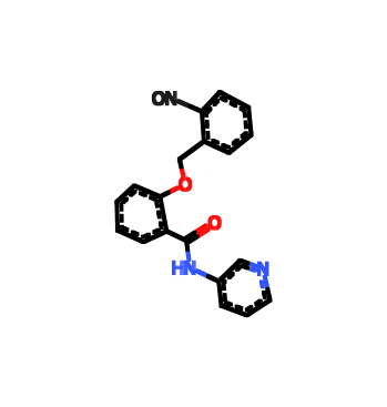 O=Nc1ccccc1COc1ccccc1C(=O)Nc1cccnc1